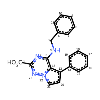 O=C(O)c1nc(NCc2ccccc2)c2c(-c3ccccc3)ccn2n1